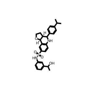 CC(C)c1ccc(C2Nc3ccc(S(=O)(=O)Nc4cccc(C(C)O)c4)cc3[C@H]3OCC[C@@H]23)cc1